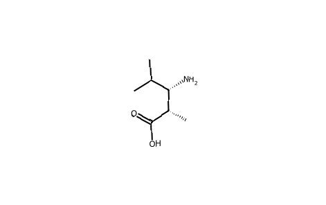 CC(C)[C@H](N)[C@H](C)C(=O)O